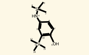 C[Si](C)(C)Nc1ccc(O)c([Si](C)(C)C)c1